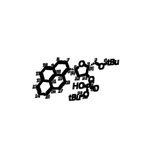 CC(C)(C)OC[C@H]1O[C@@H](c2ccc3ccc4cccc5ccc2c3c45)CC1OP(=O)(O)OC(C)(C)C